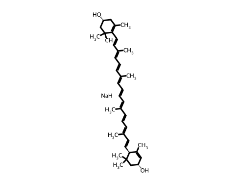 CC1=C[C@H](O)CC(C)(C)[C@H]1/C=C/C(C)=C/C=C/C(C)=C/C=C/C=C(C)/C=C/C=C(C)/C=C/C1=C(C)C[C@@H](O)CC1(C)C.[NaH]